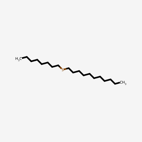 CCCCCCCCCCCSCCCCCCCC